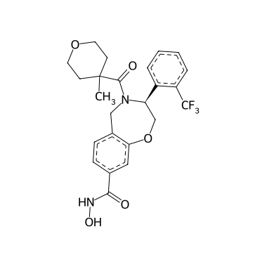 CC1(C(=O)N2Cc3ccc(C(=O)NO)cc3OC[C@@H]2c2ccccc2C(F)(F)F)CCOCC1